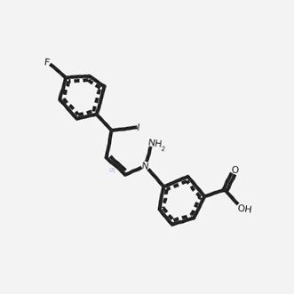 NN(/C=C\C(I)c1ccc(F)cc1)c1cccc(C(=O)O)c1